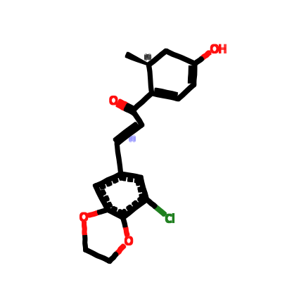 C[C@H]1CC(O)=CC=C1C(=O)/C=C/c1cc(Cl)c2c(c1)OCCO2